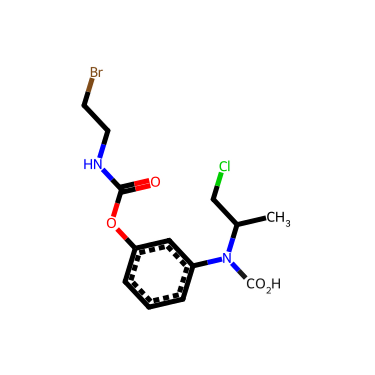 CC(CCl)N(C(=O)O)c1cccc(OC(=O)NCCBr)c1